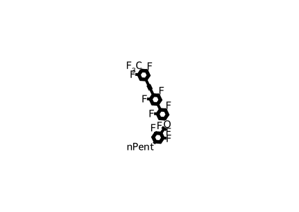 CCCCCc1cc(F)c(C(F)(F)Oc2cc(F)c(-c3cc(F)c(C#Cc4cc(F)c(C(F)(F)F)c(F)c4)c(F)c3)c(F)c2)c(F)c1